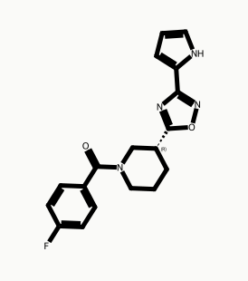 O=C(c1ccc(F)cc1)N1CCC[C@@H](c2nc(-c3ccc[nH]3)no2)C1